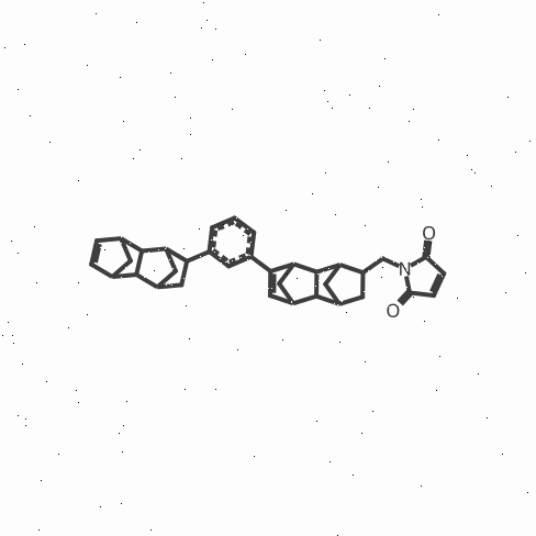 O=C1C=CC(=O)N1CC1CC2CC1C1C3CC(C=C3c3cccc(C4CC5CC4C4C6C=CC(C6)C54)c3)C21